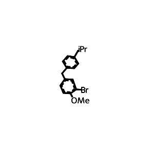 COc1ccc(Cc2ccc(C(C)C)cc2)cc1Br